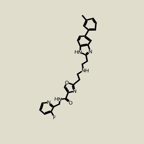 Cc1cccc(-c2ccc3[nH]c(CCNCCc4nc(C(=O)NCc5ncccc5F)co4)nc3c2)c1